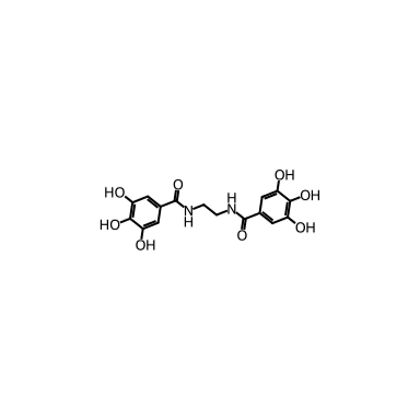 O=C(NCCNC(=O)c1cc(O)c(O)c(O)c1)c1cc(O)c(O)c(O)c1